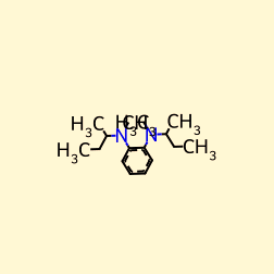 CCC(C)N(C)c1ccccc1N(C)C(C)CC